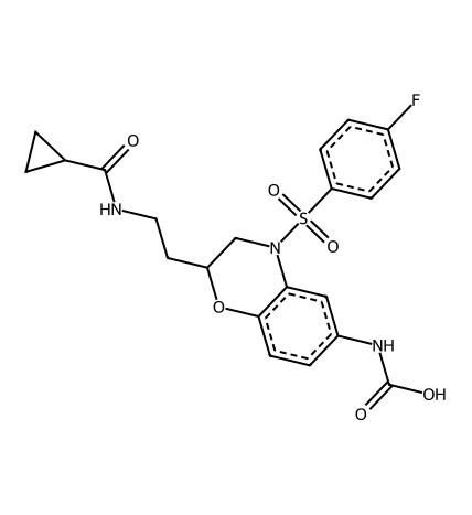 O=C(O)Nc1ccc2c(c1)N(S(=O)(=O)c1ccc(F)cc1)CC(CCNC(=O)C1CC1)O2